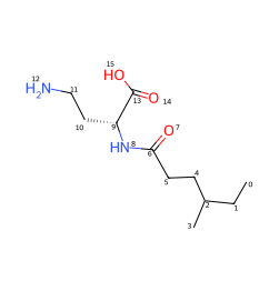 CCC(C)CCC(=O)N[C@H](CCN)C(=O)O